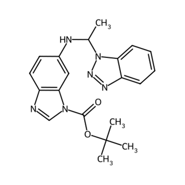 CC(Nc1ccc2ncn(C(=O)OC(C)(C)C)c2c1)n1nnc2ccccc21